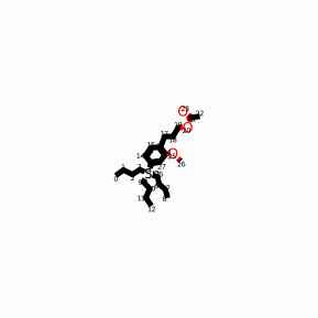 CCC[CH2][Sn]([CH2]CCC)([CH2]CCC)[c]1ccc(CCCOC(C)=O)c(OC)c1